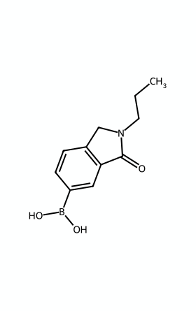 CCCN1Cc2ccc(B(O)O)cc2C1=O